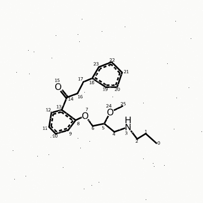 CCCNCC(COc1ccccc1C(=O)CCc1ccccc1)OC